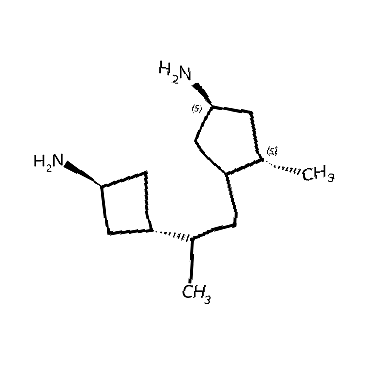 CC(CC1C[C@@H](N)C[C@@H]1C)[C@H]1C[C@H](N)C1